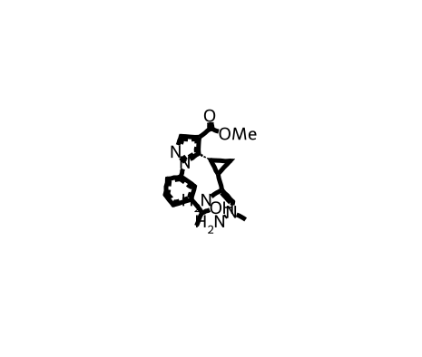 COC(=O)c1cnn(-c2cccc(C(C)O)c2)c1[C@@H]1CC1/C(N)=C/N(C)N